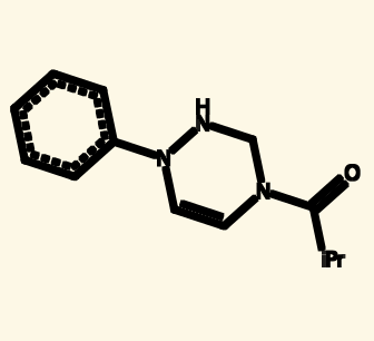 CC(C)C(=O)N1C=CN(c2ccccc2)NC1